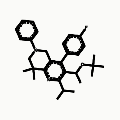 CC(C)c1nc2c(c(-c3ccc(F)cc3)c1C(C)OC(C)(C)C)CN(c1ccccc1)CC2(C)C